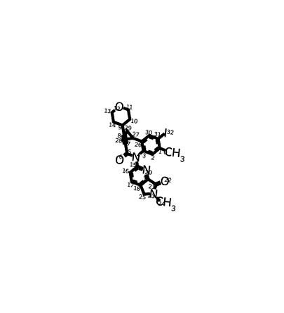 Cc1cc(N(C(=O)C#CC2CCOCC2)c2ccc3c(n2)C(=O)N(C)C3)c(C2CC2)cc1I